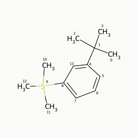 CC(C)(C)c1cccc(S(C)(C)C)c1